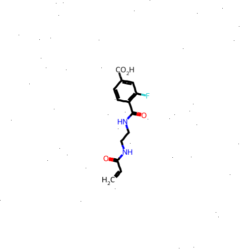 C=CC(=O)NCCNC(=O)c1ccc(C(=O)O)cc1F